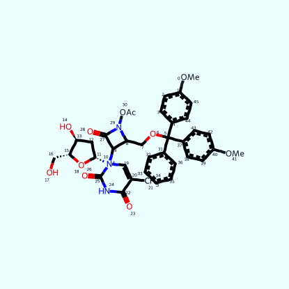 COc1ccc(C(OCC2C([N+]3([C@H]4C[C@H](O)[C@@H](CO)O4)C=C(C)C(=O)NC3=O)C(=O)N2OC(C)=O)(c2ccccc2)c2ccc(OC)cc2)cc1